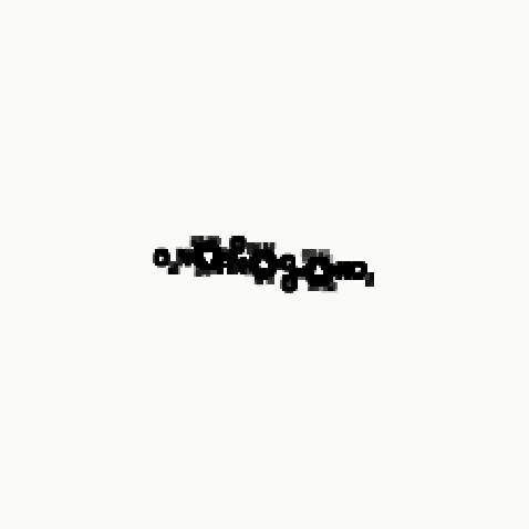 O=C(Nc1ccc(OC(=O)c2ccc([N+](=O)[O-])cc2)cc1)c1ccc([N+](=O)[O-])cc1